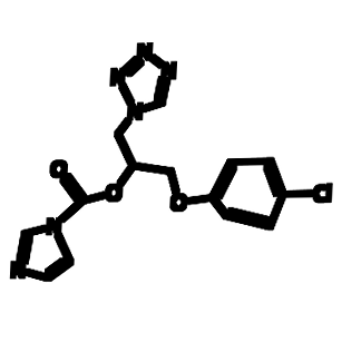 O=C(OC(COc1ccc(Cl)cc1)Cn1cnnn1)n1ccnc1